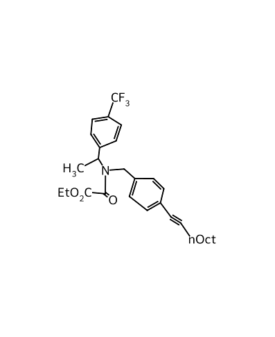 CCCCCCCCC#Cc1ccc(CN(C(=O)C(=O)OCC)C(C)c2ccc(C(F)(F)F)cc2)cc1